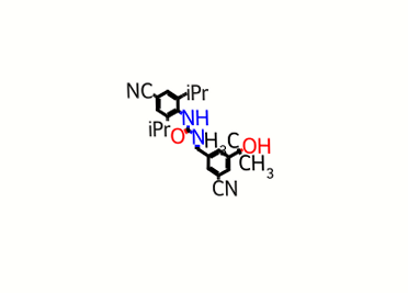 CC(C)c1cc(C#N)cc(C(C)C)c1NC(=O)N=Cc1cc(C#N)cc(C(C)(C)O)c1